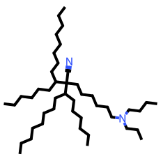 CCCCCCCCC(CCCCCC)C(C#N)(CCCCCCN(CCC)CCCC)C(CCCCCC)CCCCCCCC